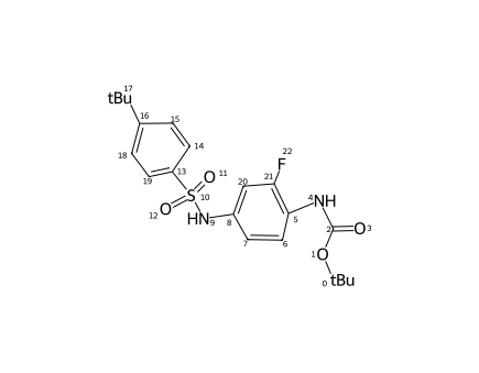 CC(C)(C)OC(=O)Nc1ccc(NS(=O)(=O)c2ccc(C(C)(C)C)cc2)cc1F